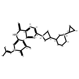 C=C(NC1=CN(C=C(C)C)C(=C)C(C)=C1)c1cnc(N2CC(C3CCCN(C4CC4)C3)C2)cn1